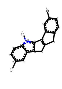 CCc1ccc2c(c1)C1=C(C2)Cc2c1n(CC)c1ccc(CC)cc21